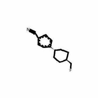 N#Cc1ccc([C@H]2CC[C@H](CF)CC2)cc1